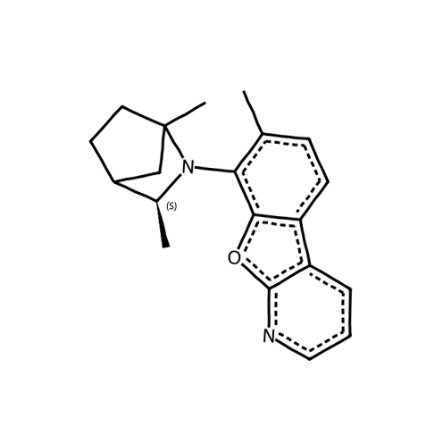 Cc1ccc2c(oc3ncccc32)c1N1[C@@H](C)C2CCC1(C)C2